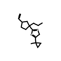 C=CC1CCC(CCC)(C2=NCC(C3(C)CC3)=N2)C1